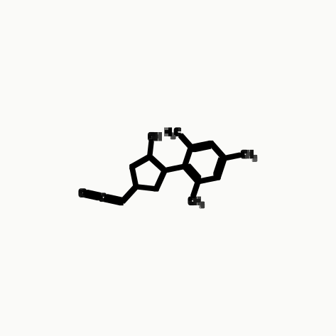 Cc1cc(C)c(C2CC(C=C=O)CC2O)c(C)c1